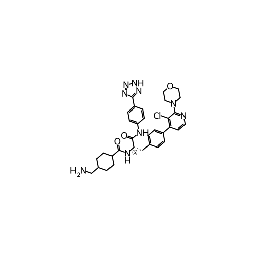 NCC1CCC(C(=O)N[C@@H](Cc2ccc(-c3ccnc(N4CCOCC4)c3Cl)cc2)C(=O)Nc2ccc(-c3nn[nH]n3)cc2)CC1